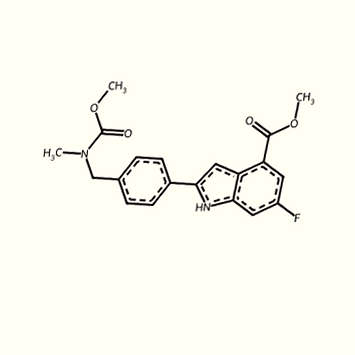 COC(=O)c1cc(F)cc2[nH]c(-c3ccc(CN(C)C(=O)OC)cc3)cc12